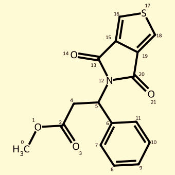 COC(=O)CC(c1ccccc1)N1C(=O)c2cscc2C1=O